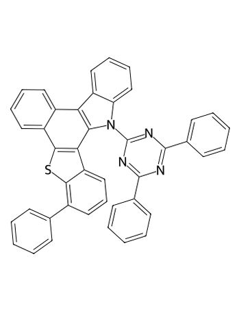 c1ccc(-c2nc(-c3ccccc3)nc(-n3c4ccccc4c4c5ccccc5c5sc6c(-c7ccccc7)cccc6c5c43)n2)cc1